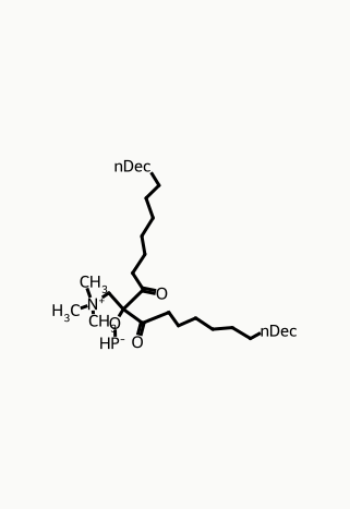 CCCCCCCCCCCCCCCCC(=O)C(C[N+](C)(C)C)(O[PH-])C(=O)CCCCCCCCCCCCCCCC